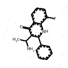 CC(N)c1c(-c2ccccc2)[nH]c2c(F)cccc2c1=O